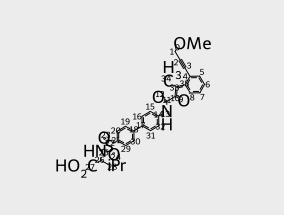 COCC#Cc1cccc2oc(C(=O)Nc3ccc(-c4ccc(S(=O)(=O)N[C@H](C(=O)O)C(C)C)cc4)cc3)c(C)c12